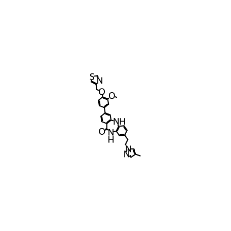 COc1cc(-c2ccc3c(c2)Nc2ccc(CCn4cc(C)cn4)cc2NC3=O)ccc1OCc1cscn1